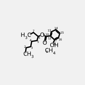 C.CCCCCC(CC)OC(=O)c1ccccc1O